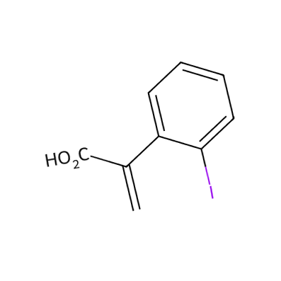 C=C(C(=O)O)c1ccccc1I